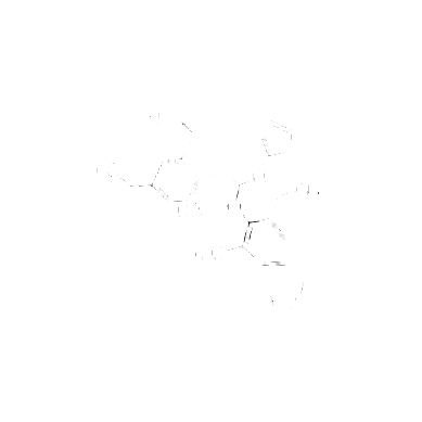 CCc1cc(C)c(OC(Oc2c(C)cc(CC)cc2CC)Pc2cccs2)c(CC)c1